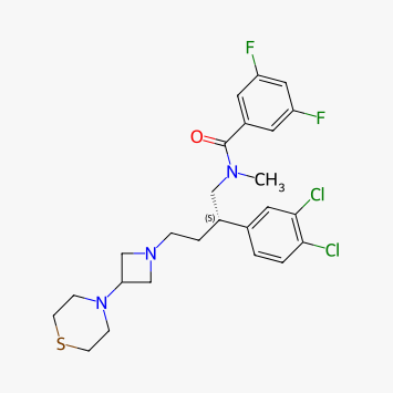 CN(C[C@@H](CCN1CC(N2CCSCC2)C1)c1ccc(Cl)c(Cl)c1)C(=O)c1cc(F)cc(F)c1